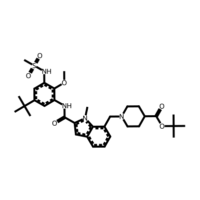 COc1c(NC(=O)c2cc3cccc(CN4CCC(C(=O)OC(C)(C)C)CC4)c3n2C)cc(C(C)(C)C)cc1NS(C)(=O)=O